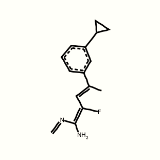 C=N/C(N)=C(F)\C=C(/C)c1cccc(C2CC2)c1